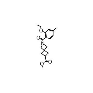 CCOc1cc(C)ccc1C(=O)N1CC2(CC(C(=O)OC)C2)C1